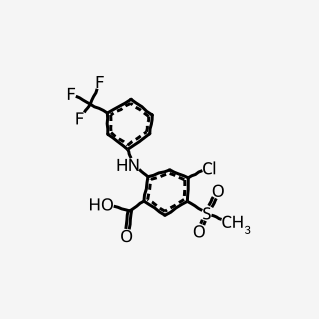 CS(=O)(=O)c1cc(C(=O)O)c(Nc2cccc(C(F)(F)F)c2)cc1Cl